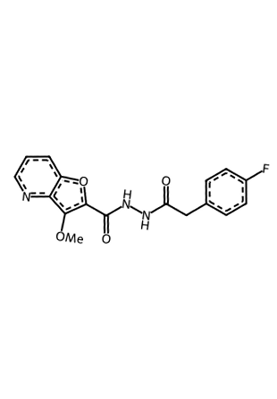 COc1c(C(=O)NNC(=O)Cc2ccc(F)cc2)oc2cccnc12